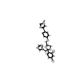 Cn1cnc(-c2ccc(OCC3COC(Cn4cncn4)(c4ccc(Cl)cc4Cl)O3)cc2)c1